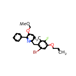 C=CCOc1cc(Br)c(Cc2ccc(OCOC)c(-c3ccccc3)n2)c(C)c1F